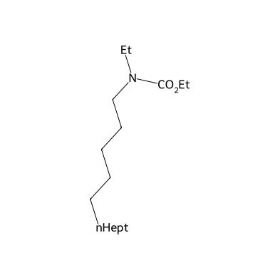 CCCCCCCCCCCCN(CC)C(=O)OCC